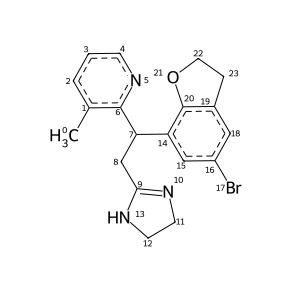 Cc1cccnc1C(CC1=NCCN1)c1cc(Br)cc2c1OCC2